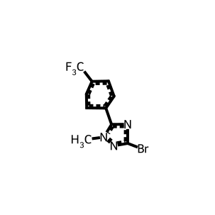 Cn1nc(Br)nc1-c1ccc(C(F)(F)F)cc1